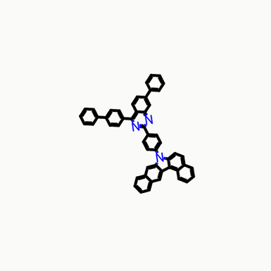 c1ccc(-c2ccc(-c3nc(-c4ccc(-n5c6cc7ccccc7cc6c6c7ccccc7ccc65)cc4)nc4cc(-c5ccccc5)ccc34)cc2)cc1